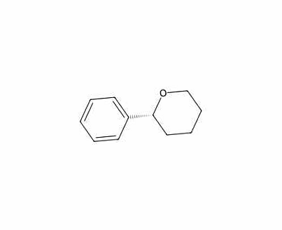 c1ccc([C@H]2CCCCO2)cc1